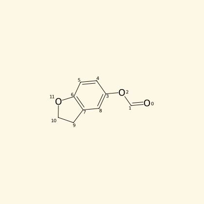 O=COc1ccc2c(c1)CCO2